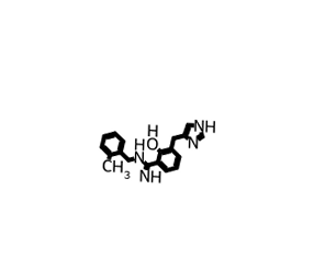 Cc1ccccc1CNC(=N)c1cccc(Cc2c[nH]cn2)c1O